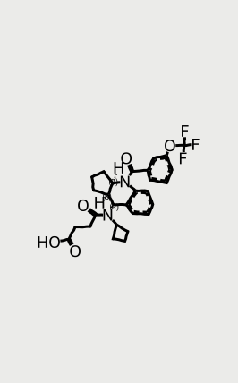 O=C(O)CCC(=O)N(C1CCC1)[C@H]1c2ccccc2N(C(=O)c2cccc(OC(F)(F)F)c2)[C@@H]2CCC[C@@H]21